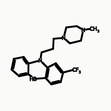 CN1CCN(CCCN2c3ccccc3Bc3ccc(C(F)(F)F)cc32)CC1